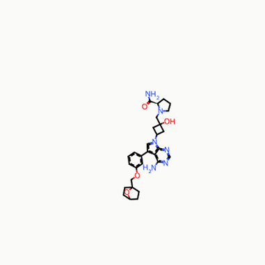 NC(=O)[C@H]1CCCN1CC1(O)CC(n2cc(-c3cccc(OCC45CCC(CC4)O5)c3)c3c(N)ncnc32)C1